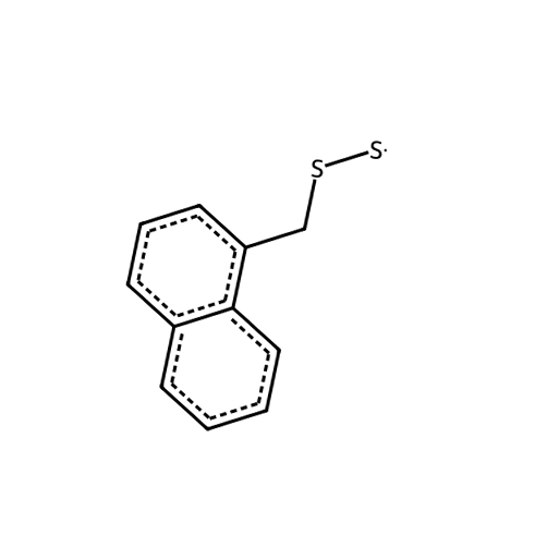 [S]SCc1cccc2ccccc12